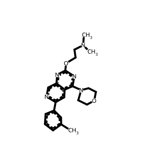 Cc1cccc(-c2cc3c(N4CCOCC4)nc(OCCN(C)C)nc3cn2)c1